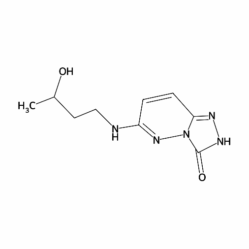 CC(O)CCNc1ccc2n[nH]c(=O)n2n1